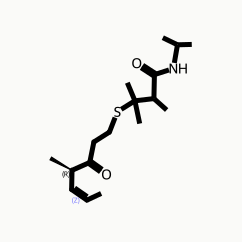 C/C=C\[C@@H](C)C(=O)CCSC(C)(C)C(C)C(=O)NC(C)C